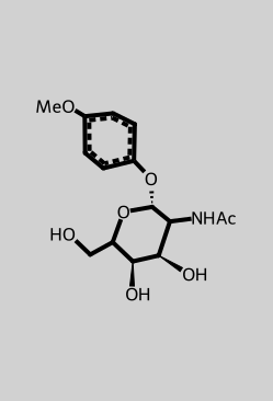 COc1ccc(O[C@H]2OC(CO)[C@H](O)[C@H](O)C2NC(C)=O)cc1